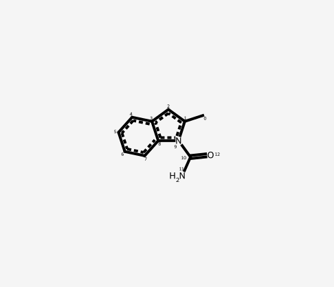 Cc1cc2c[c]ccc2n1C(N)=O